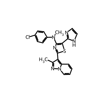 Cc1nn2ccccc2c1-c1nc(N(C)c2ccc(Cl)cc2)c(-c2ncc[nH]2)s1